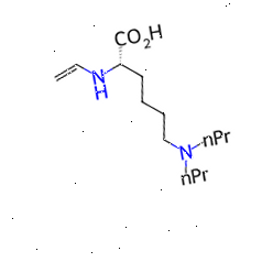 C=CN[C@@H](CCCCN(CCC)CCC)C(=O)O